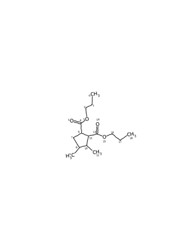 CCCOC(=O)C1CC(C)C(C)C1C(=O)OCCC